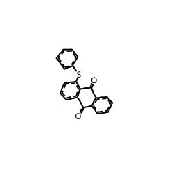 O=C1c2ccccc2C(=O)c2c(Sc3ccccc3)cccc21